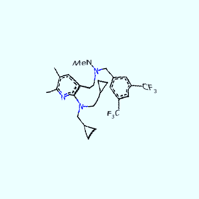 CNN(Cc1cc(C(F)(F)F)cc(C(F)(F)F)c1)Cc1cc(C)c(C)nc1N(CC1CC1)CC1CC1